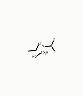 FB(F)F.O=S(=O)(O)O.[Li][CH2]C(F)(F)F